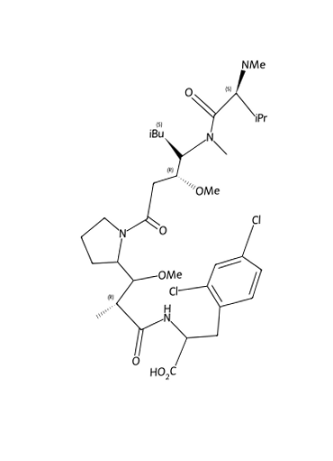 CC[C@H](C)C([C@@H](CC(=O)N1CCCC1C(OC)[C@@H](C)C(=O)NC(Cc1ccc(Cl)cc1Cl)C(=O)O)OC)N(C)C(=O)[C@@H](NC)C(C)C